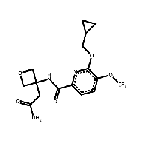 NC(=O)CC1(NC(=O)c2ccc(OC(F)(F)F)c(OCC3CC3)n2)COC1